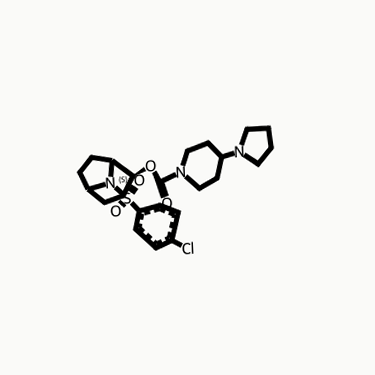 O=C(O[C@H]1CCC2CCC1N2S(=O)(=O)c1ccc(Cl)cc1)N1CCC(N2CCCC2)CC1